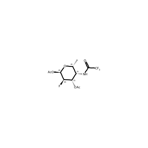 CC(=O)O[C@H]1O[C@H](C)[C@H](NC(=O)C(F)(F)F)[C@H](OC(C)=O)[C@H]1F